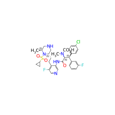 C[C@H]1CNC[C@H](CCc2c(F)cncc2NC(=O)[C@H]([C@@H](c2ccc(Cl)cc2)c2cccc(F)c2)N(C)C(=O)O)N1S(=O)(=O)C1CC1